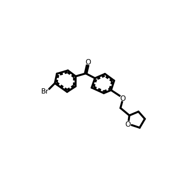 O=C(c1ccc(Br)cc1)c1ccc(OCC2CCCO2)cc1